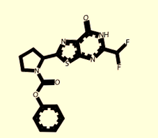 O=C(Oc1ccccc1)N1CCCC1c1nc2c(=O)[nH]c(C(F)F)nc2s1